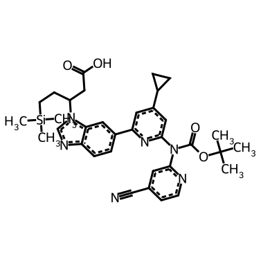 CC(C)(C)OC(=O)N(c1cc(C#N)ccn1)c1cc(C2CC2)cc(-c2ccc3ncn(C(CC[Si](C)(C)C)CC(=O)O)c3c2)n1